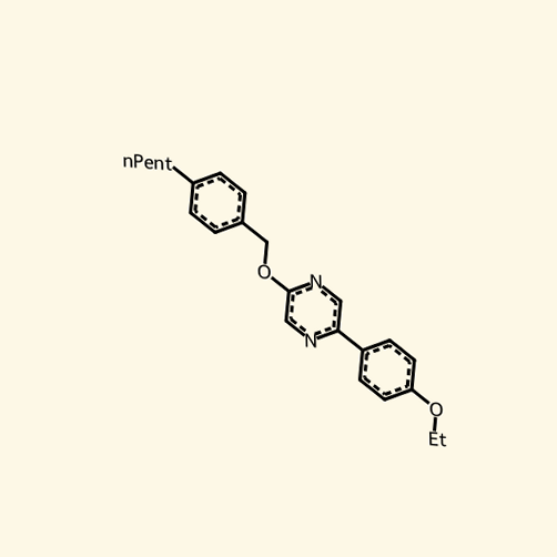 CCCCCc1ccc(COc2cnc(-c3ccc(OCC)cc3)cn2)cc1